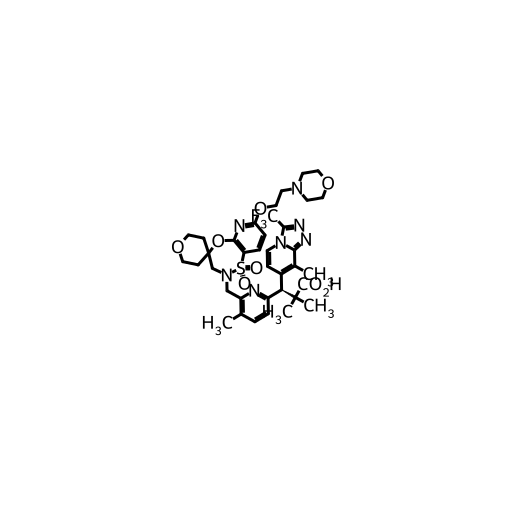 Cc1ccc([C@@H](c2ccn3c(C(F)(F)F)nnc3c2C)C(C)(C)C(=O)O)nc1CN1CC2(CCOCC2)Oc2nc(OCCN3CCOCC3)ccc2S1(=O)=O